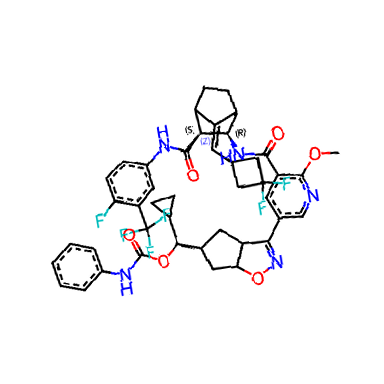 COc1ncc(C2=NOC3CC(C(OC(=O)Nc4ccccc4)C4CC4)CC23)cc1C(=O)N[C@@H]1C2CCC(/C2=C/C2CC(F)(F)C2)[C@@H]1C(=O)Nc1ccc(F)c(C(F)(F)F)c1